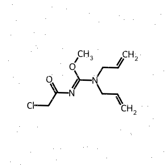 C=CCN(CC=C)/C(=N/C(=O)CCl)OC